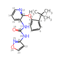 CC(C)(C)c1ccccc1Oc1ncccc1NC(=O)Nc1ccon1